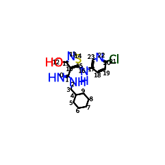 N=C(NCC1CCCCC1)c1c(O)nsc1Nc1ccc(Cl)nc1